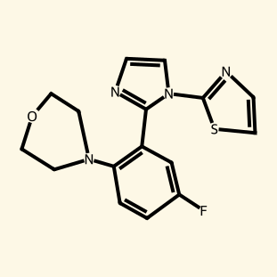 Fc1ccc(N2CCOCC2)c(-c2nccn2-c2nccs2)c1